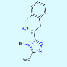 CCn1c(OC)nnc1[C@H](N)Cc1ccccc1F